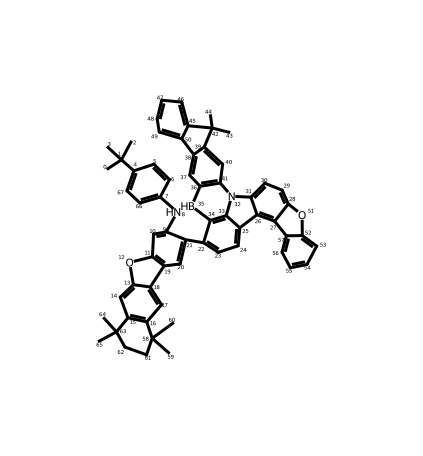 CC(C)(C)c1ccc(Nc2cc3oc4cc5c(cc4c3cc2-c2ccc3c4c6c(ccc4n4c3c2Bc2cc3c(cc2-4)C(C)(C)c2ccccc2-3)oc2ccccc26)C(C)(C)CCC5(C)C)cc1